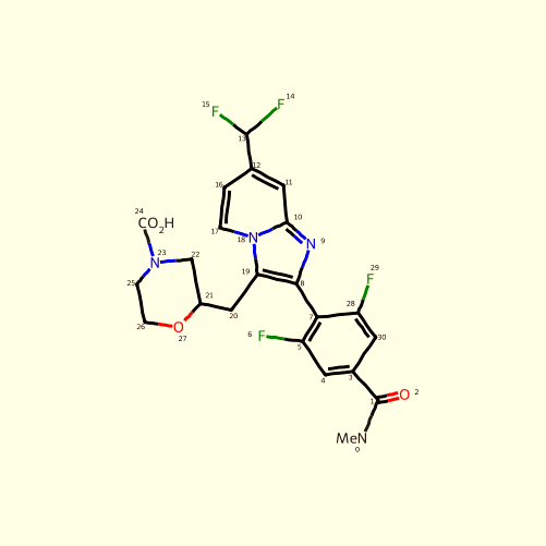 CNC(=O)c1cc(F)c(-c2nc3cc(C(F)F)ccn3c2CC2CN(C(=O)O)CCO2)c(F)c1